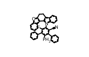 N#Cc1c(-c2ccccc2)c(P)c(-c2ccccc2)c(F)c1-n1c2c(c3ccccc31)CCc1oc3ccccc3c1-2